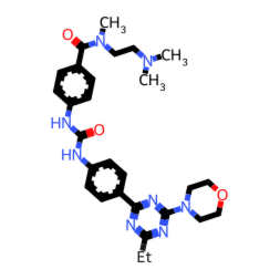 CCc1nc(-c2ccc(NC(=O)Nc3ccc(C(=O)N(C)CCN(C)C)cc3)cc2)nc(N2CCOCC2)n1